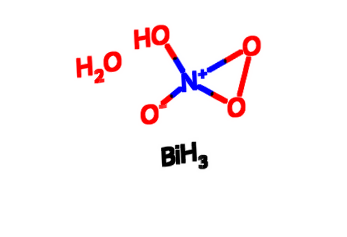 O.[BiH3].[O-][N+]1(O)OO1